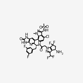 Cn1nc(NS(C)(=O)=O)c2c(Cl)ccc(-c3cc4[nH]c(=O)[nH]c4nc3[C@H](Cc3cc(F)cc(F)c3)NC(=O)Cn3nc(C(F)F)c4c3C(F)(F)C[C@@H]4N)c21